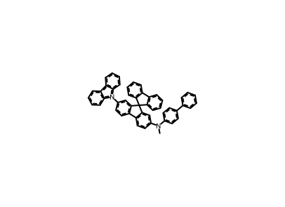 CN(c1ccc(-c2ccccc2)cc1)c1ccc2c(c1)C1(c3ccccc3-c3ccccc31)c1cc(-n3c4ccccc4c4ccccc43)ccc1-2